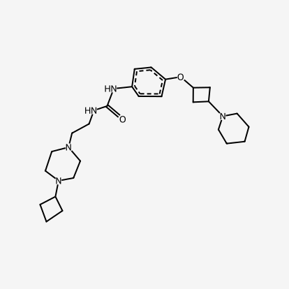 O=C(NCCN1CCN(C2CCC2)CC1)Nc1ccc(OC2CC(N3CCCCC3)C2)cc1